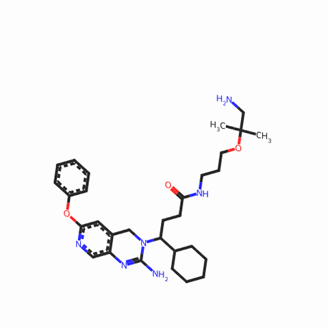 CC(C)(CN)OCCCNC(=O)CCC(C1CCCCC1)N1Cc2cc(Oc3ccccc3)ncc2N=C1N